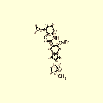 CC(C)Oc1cc2nc([C@@]34CC[C@@](C)(C3)OC4)cn2cc1C(=O)Nc1cccn(C2CC2)c1=O